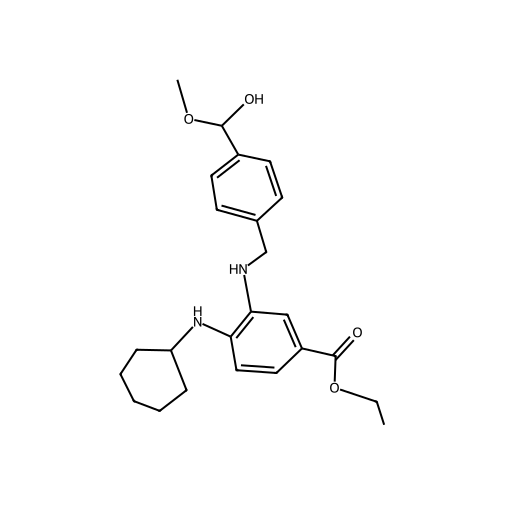 CCOC(=O)c1ccc(NC2CCCCC2)c(NCc2ccc(C(O)OC)cc2)c1